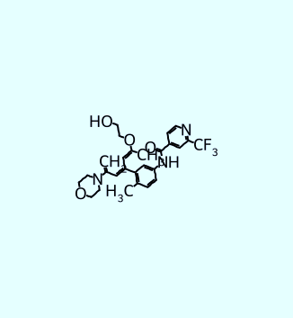 C=C(/C=C(\C=C(/C)OCCO)c1cc(NC(=O)c2ccnc(C(F)(F)F)c2)ccc1C)N1CCOCC1